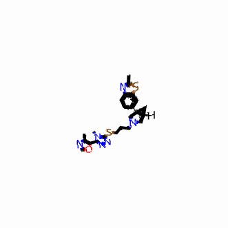 Cc1nc2ccc([C@]34C[C@@H]3CN(CCCSc3nnc(-c5ocnc5C)n3C)C4)cc2s1